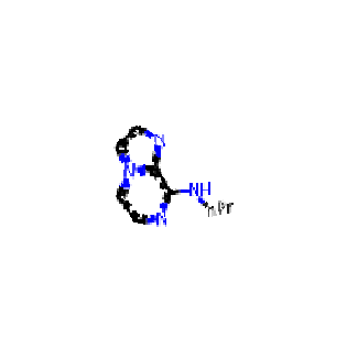 CCCNc1nccn2ccnc12